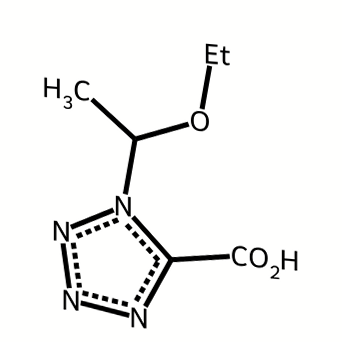 CCOC(C)n1nnnc1C(=O)O